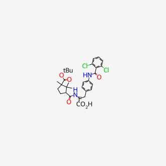 CC(C)(C)OC(=O)C1(C)CCC(C(=O)N[C@@H](Cc2ccc(NC(=O)c3c(Cl)cccc3Cl)cc2)C(=O)O)C1(C)C